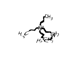 CC#N.CCCC[N+](CCCC)(CCCC)CCCC